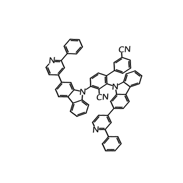 N#Cc1cccc(-c2ccc(-n3c4ccccc4c4ccc(-c5ccnc(-c6ccccc6)c5)cc43)c(C#N)c2-n2c3ccccc3c3ccc(-c4ccnc(-c5ccccc5)c4)cc32)c1